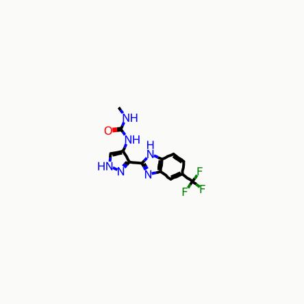 CNC(=O)Nc1c[nH]nc1-c1nc2cc(C(F)(F)F)ccc2[nH]1